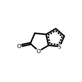 O=C1Cc2ccsc2O1